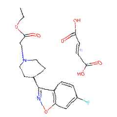 CCOC(=O)CN1CCC(c2noc3cc(F)ccc23)CC1.O=C(O)/C=C/C(=O)O